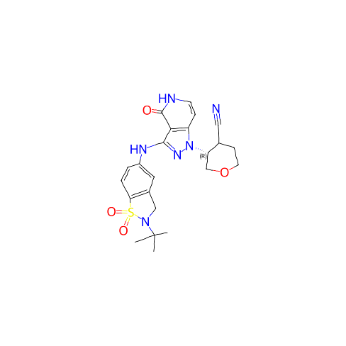 CC(C)(C)N1Cc2cc(Nc3nn([C@H]4COCCC4C#N)c4cc[nH]c(=O)c34)ccc2S1(=O)=O